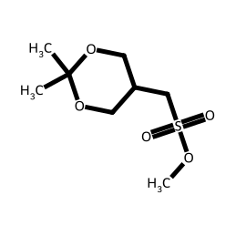 COS(=O)(=O)CC1COC(C)(C)OC1